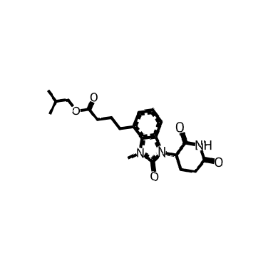 CC(C)COC(=O)CCCc1cccc2c1n(C)c(=O)n2C1CCC(=O)NC1=O